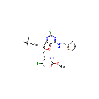 C[C@H](F)[C@@H](Cc1oc2c(NCc3cccs3)nc(Cl)nc2c1C#C[Si](C)(C)C)NC(=O)OC(C)(C)C